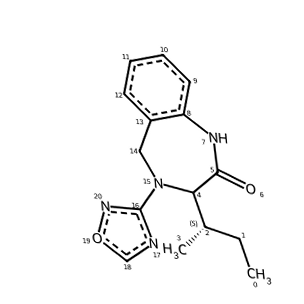 CC[C@H](C)C1C(=O)Nc2ccccc2CN1c1ncon1